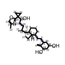 C=C1/C(=C\C=C2/CCC[C@]3(C)[C@@H]([C@@H](C)/C=C/[C@@H](O)C4(c5nc(C)co5)CC4)CC[C@@H]23)C[C@@H](O)C[C@@H]1O